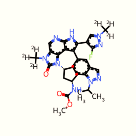 [2H]C([2H])([2H])n1cc(-c2[nH]c3ncc4c(c3c2-c2ccc3c(cnn3C(C)C)c2)n([C@@H]2CC[C@@H](NC(=O)OC)C2)c(=O)n4C([2H])([2H])[2H])c(F)n1